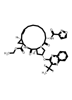 CCOC(=O)[C@@]12C[C@H]1C=CCCCCC[C@H](NC(=O)c1ccon1)C(=O)N1C[C@H](Oc3nc4ccccc4nc3C(C)(F)F)C[C@H]1C(=O)N2